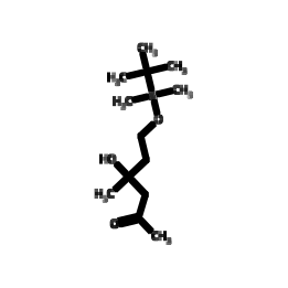 CC(=O)CC(C)(O)CCO[Si](C)(C)C(C)(C)C